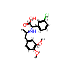 COc1ccc(CC(C)N[C@@H](C(=O)O)c2cccc(Cl)c2)cc1OC